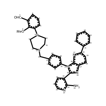 COc1c(C=O)cccc1N1CCN(Cc2ccc(-n3c(-c4cccnc4N)nc4ccc(-c5ccccc5)nc43)cc2)CC1